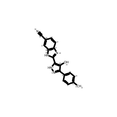 Cc1ccc(-c2n[nH]c(-c3nc4ccc(C#N)cc4[nH]3)c2O)cc1